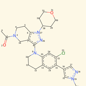 CC(=O)N1CCc2c(c(N3CCCc4cc(-c5cnn(C)c5)c(Cl)cc43)nn2C2CCOCC2)C1